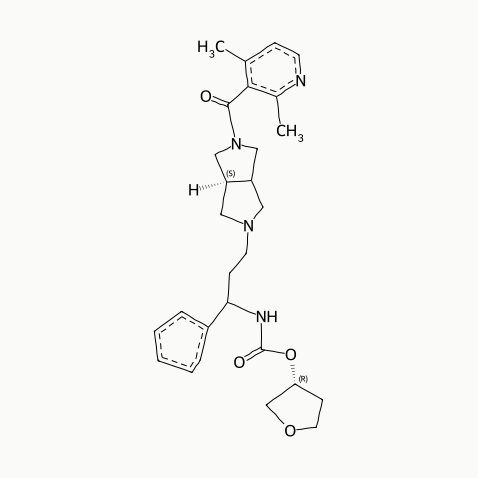 Cc1ccnc(C)c1C(=O)N1CC2CN(CCC(NC(=O)O[C@@H]3CCOC3)c3ccccc3)C[C@H]2C1